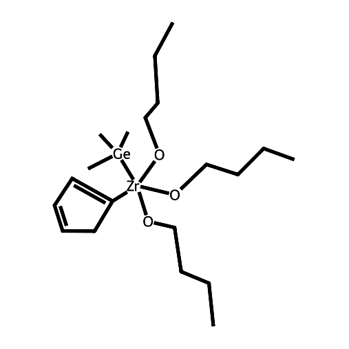 CCCC[O][Zr]([O]CCCC)([O]CCCC)([C]1=CC=CC1)[Ge]([CH3])([CH3])[CH3]